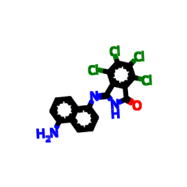 Nc1cccc2c(N=C3NC(=O)c4c(Cl)c(Cl)c(Cl)c(Cl)c43)cccc12